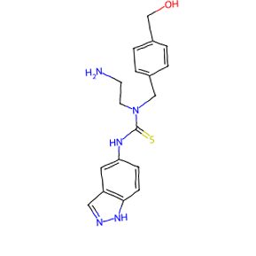 NCCN(Cc1ccc(CO)cc1)C(=S)Nc1ccc2[nH]ncc2c1